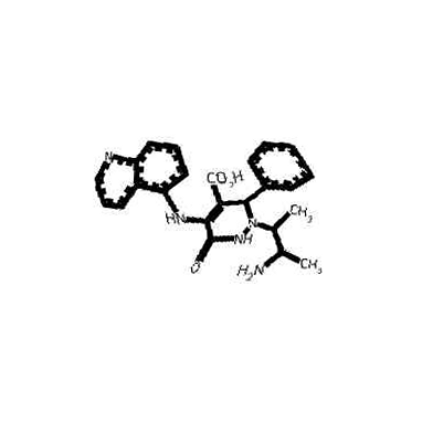 CC(N)C(C)N1NC(=O)C(Nc2cccc3ncccc23)=C(C(=O)O)C1c1ccccc1